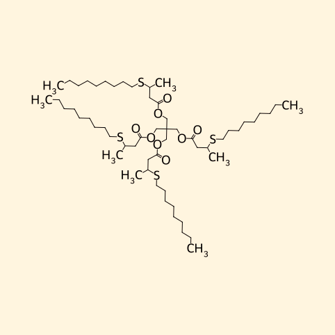 CCCCCCCCCSC(C)CC(=O)OCC(COC(=O)CC(C)SCCCCCCCCC)(COC(=O)CC(C)SCCCCCCCCC)COC(=O)CC(C)SCCCCCCCCC